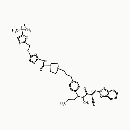 CCCC(c1ccc(CCCN2CCC(C(=O)Nc3ncc(SCc4ncc(C(C)(C)C)o4)s3)CC2)cc1)N(C)C(=O)/C(C#N)=C/c1nc2ccccc2s1